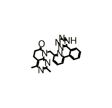 Cc1nc(C)c2c(n1)N(Cc1cccc(-c3ccccc3-c3nnn[nH]3)n1)C(=O)CC2